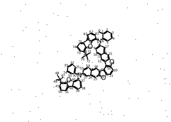 Cc1ccccc1N(c1ccc2cc3c(cc2c1)oc1ccc2oc4cc5cc(N(c6ccccc6)c6cccc7c6oc6c(C(C)(C)C)cccc67)ccc5cc4c2c13)c1cccc2c1oc1c(C(C)(C)C)cccc12